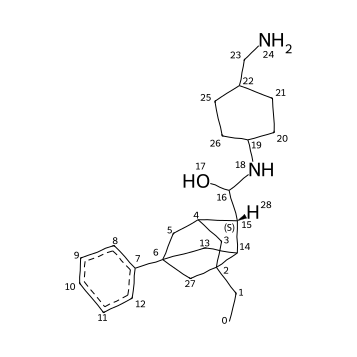 CCC12CC3CC(c4ccccc4)(CC1[C@H]3C(O)NC1CCC(CN)CC1)C2